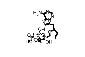 Nc1ncnn2c(CC(CF)OCP(=O)(O)OP(=O)(O)OP(=O)(O)O)cnc12